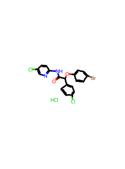 Cl.O=C(Nc1ccc(Cl)cn1)C(Oc1ccc(Br)cc1)c1ccc(Cl)cc1